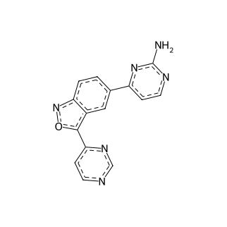 Nc1nccc(-c2ccc3noc(-c4ccncn4)c3c2)n1